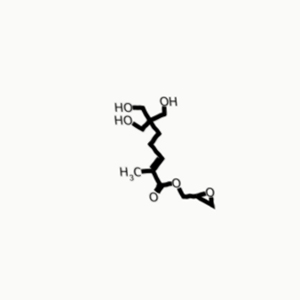 CC(=CCCC(CO)(CO)CO)C(=O)OCC1CO1